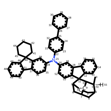 C[C@H]1C2CCC3CC(C2)CC1C31c2ccccc2-c2cc(N(c3ccc(-c4ccccc4)cc3)c3ccc4c(c3)C3(CCCCC3)c3ccccc3-4)ccc21